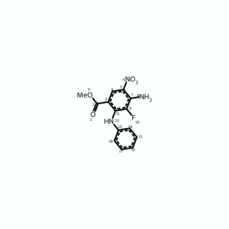 COC(=O)c1cc([N+](=O)[O-])c(N)c(F)c1Nc1ccccc1